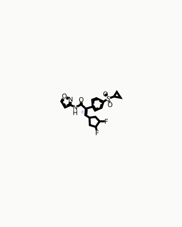 O=C(Nc1ccon1)/C(=C/C1CC(F)C(F)C1)c1ccc(S(=O)(=O)C2CC2)cc1